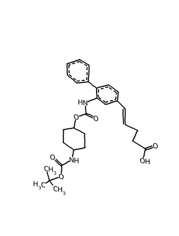 CC(C)(C)OC(=O)NC1CCC(OC(=O)Nc2cc(C=CCCC(=O)O)ccc2-c2ccccc2)CC1